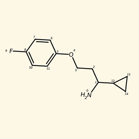 NC(CCOc1ccc(F)cc1)C1CC1